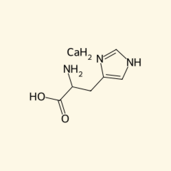 NC(Cc1c[nH]cn1)C(=O)O.[CaH2]